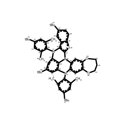 Cc1cc(C(C)(C)C)cc(C)c1N1c2cc3c(cc2B2c4sc5ccc(C(C)(C)C)cc5c4N(c4c(C)cc(C(C)(C)C)cc4C)c4cc(C(C)(C)C)cc1c42)OCCCO3